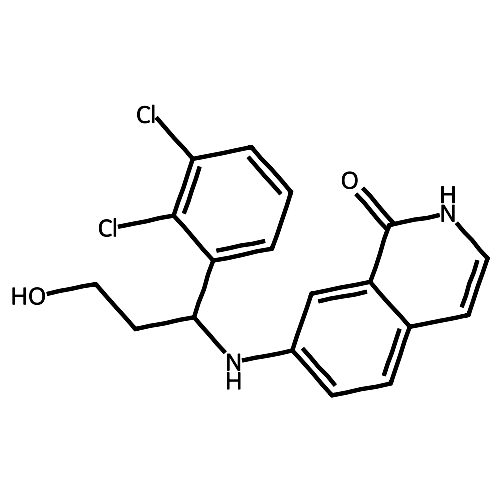 O=c1[nH]ccc2ccc(NC(CCO)c3cccc(Cl)c3Cl)cc12